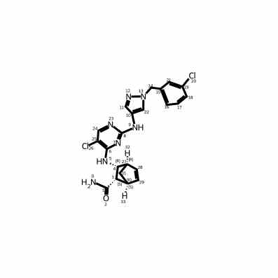 NC(=O)[C@@H]1[C@H](Nc2nc(Nc3cnn(Cc4cccc(Cl)c4)c3)ncc2Cl)[C@H]2C=C[C@@H]1C2